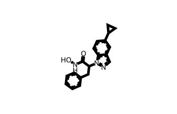 O=C(NO)C(Cc1ccccc1)n1ncc2cc(C3CC3)ccc21